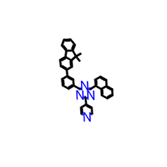 CC1(C)c2ccccc2-c2ccc(-c3cccc(-c4nc(-c5ccncc5)nc(-c5cccc6ccccc56)n4)c3)cc21